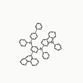 c1ccc(-c2ccc(N(c3ccccc3)c3cc(-c4cc5ccccc5c5ccccc45)cc(N(c4ccccc4)c4ccc5c6ccccc6n(-c6ccccc6)c5c4)c3)cc2)cc1